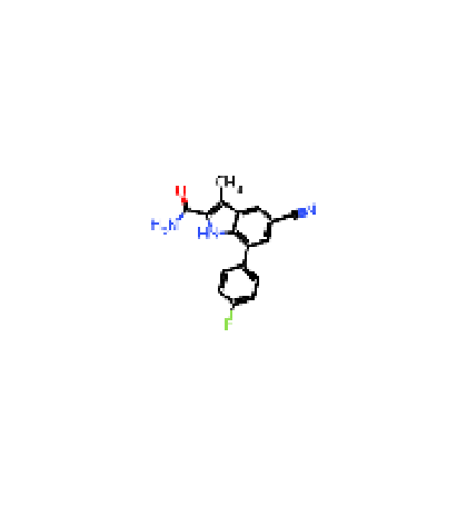 Cc1c(C(N)=O)[nH]c2c(-c3ccc(F)cc3)cc(C#N)cc12